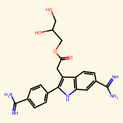 N=C(N)c1ccc(-c2[nH]c3cc(C(=N)N)ccc3c2CC(=O)OCC(O)CO)cc1